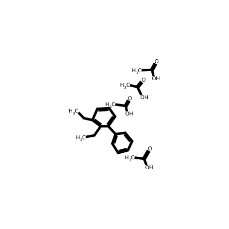 CC(=O)O.CC(=O)O.CC(=O)O.CC(=O)O.CCc1cccc(-c2ccccc2)c1CC